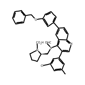 Cc1cc(Cl)cc(-c2cnc3ccc(-c4cccc(OCc5ccccc5)c4)cc3c2N(C=O)C[C@H]2CCCN2C(=O)O)c1